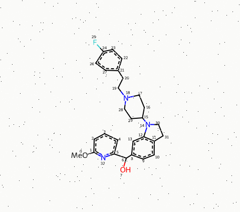 COc1cccc(C(O)c2ccc3c(c2)N(C2CCN(CCc4ccc(F)cc4)CC2)CC3)n1